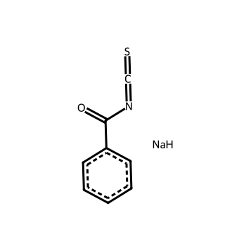 O=C(N=C=S)c1ccccc1.[NaH]